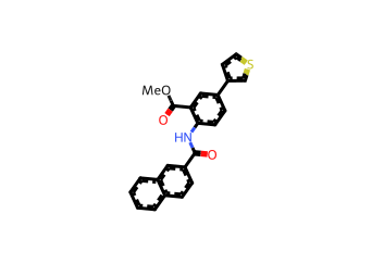 COC(=O)c1cc(-c2ccsc2)ccc1NC(=O)c1ccc2ccccc2c1